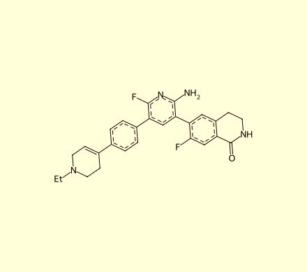 CCN1CC=C(c2ccc(-c3cc(-c4cc5c(cc4F)C(=O)NCC5)c(N)nc3F)cc2)CC1